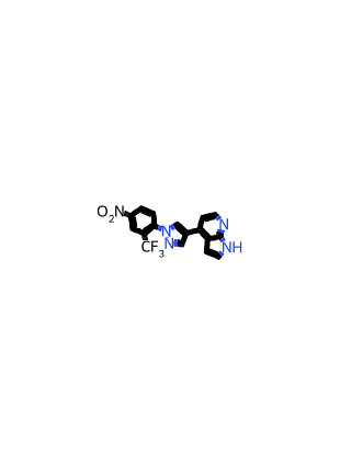 O=[N+]([O-])c1ccc(-n2cc(-c3ccnc4[nH]ccc34)cn2)c(C(F)(F)F)c1